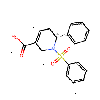 O=C(O)C1=CC[C@H](c2ccccc2)N(S(=O)(=O)c2ccccc2)C1